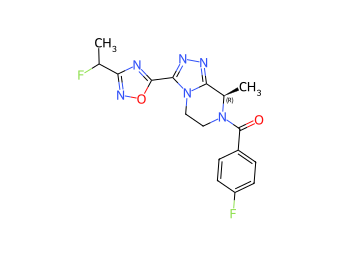 CC(F)c1noc(-c2nnc3n2CCN(C(=O)c2ccc(F)cc2)[C@@H]3C)n1